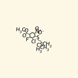 COC(=O)c1cc([N+](=O)[O-])c(SCCS(C)(C)C)c(Cl)c1F